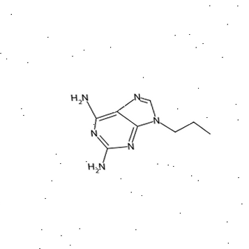 CCCn1cnc2c(N)nc(N)nc21